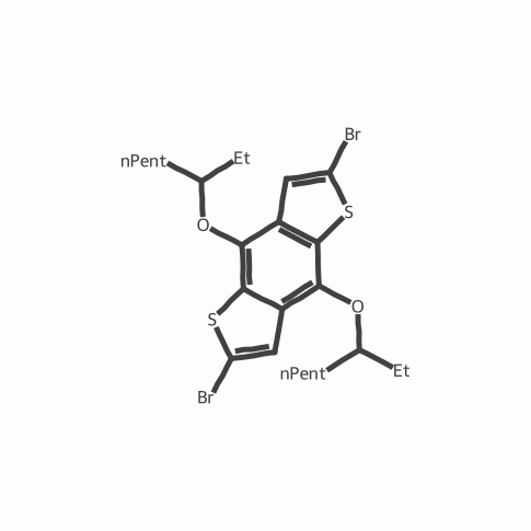 CCCCCC(CC)Oc1c2cc(Br)sc2c(OC(CC)CCCCC)c2cc(Br)sc12